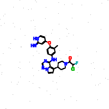 Cc1cc(Nc2ncnn3ccc(C4CCN(C(=O)C(F)Cl)CC4)c23)ccc1Oc1cc[nH]c(=N)c1